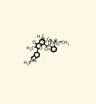 CCOP(=O)(OCC)c1ccccc1NC(C)c1cc(C)cc2c(=O)c(C)c(-c3ccc4nn(C)cc4c3)oc12